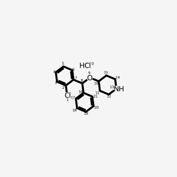 Cl.Clc1ccccc1C(OC1CCNCC1)c1ccccc1